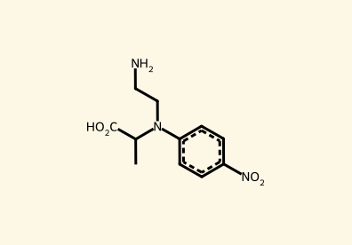 CC(C(=O)O)N(CCN)c1ccc([N+](=O)[O-])cc1